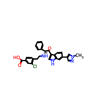 Cn1cc(-c2ccc3c(C(=O)[C@H](NCCc4ccc(C(=O)O)cc4Cl)c4ccccc4)c[nH]c3c2)cn1